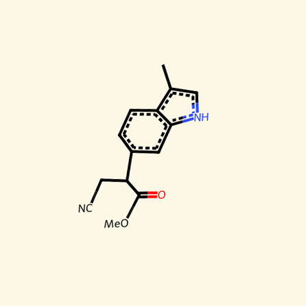 COC(=O)C(CC#N)c1ccc2c(C)c[nH]c2c1